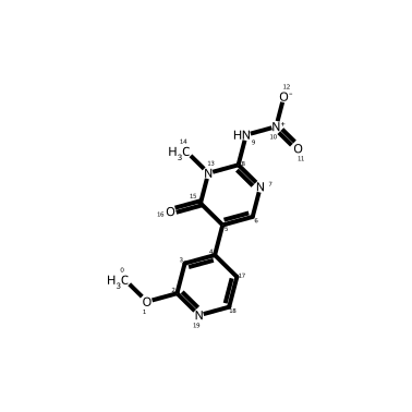 COc1cc(-c2cnc(N[N+](=O)[O-])n(C)c2=O)ccn1